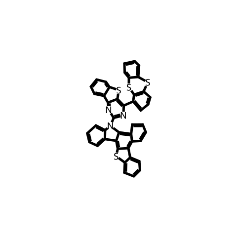 c1ccc2c(c1)Sc1cccc(-c3nc(-n4c5ccccc5c5c6sc7ccccc7c6c6ccccc6c54)nc4c3sc3ccccc34)c1S2